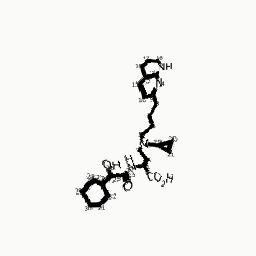 O=C(O)C(CCN(CCCCc1ccc2c(n1)NCCC2)C1CC1)NC(=O)C(O)C1CCCCC1